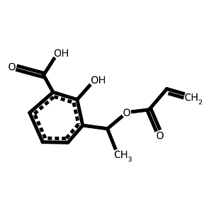 C=CC(=O)OC(C)c1cccc(C(=O)O)c1O